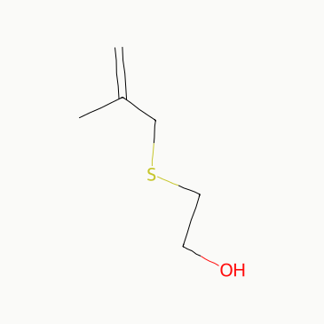 C=C(C)CSCCO